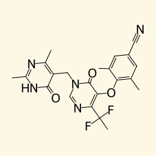 Cc1nc(C)c(Cn2cnc(C(C)(F)F)c(Oc3c(C)cc(C#N)cc3C)c2=O)c(=O)[nH]1